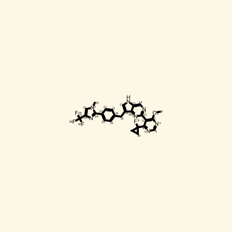 COc1ncnc(C2(F)CC2)c1-c1ncc2[nH]cc(Cc3ccc(-c4nc(C(F)(F)F)cn4C)cc3)c2n1